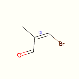 C/C(C=O)=C/Br